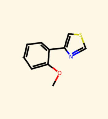 COc1c[c]ccc1-c1cscn1